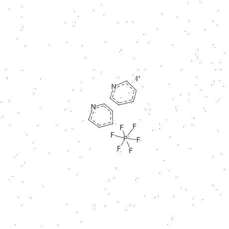 F[P-](F)(F)(F)(F)F.[I+].c1ccncc1.c1ccncc1